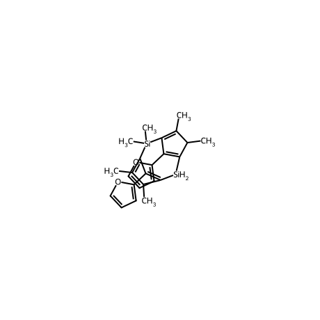 CC1=C2C(c3ccco3)=C([SiH2]C3=C(c4ccco4)C(=C(C)C3C)[Si]2(C)C)C1C